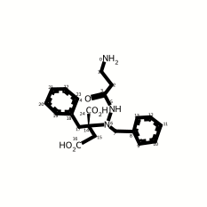 NCCC(=O)NN(Cc1ccccc1)[C@](CC(=O)O)(Cc1ccccc1)C(=O)O